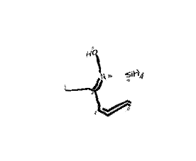 C=CC(C)=NO.[SiH4]